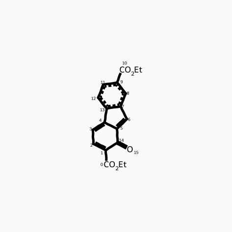 CCOC(=O)C1=CC=C2C(=Cc3cc(C(=O)OCC)ccc32)C1=O